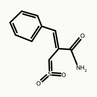 NC(=O)C(=Cc1ccccc1)C=S(=O)=O